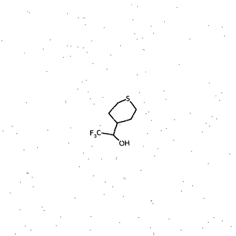 OC(C1CCSCC1)C(F)(F)F